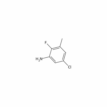 Cc1cc(Cl)cc(N)c1F